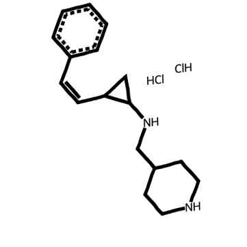 C(=C/C1CC1NCC1CCNCC1)/c1ccccc1.Cl.Cl